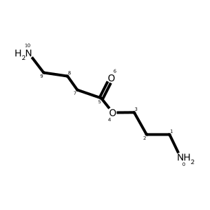 NCCCOC(=O)CCCN